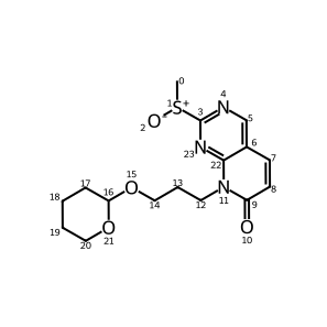 C[S+]([O-])c1ncc2ccc(=O)n(CCCOC3CCCCO3)c2n1